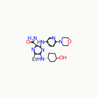 CCc1nc(C(N)=O)c(Nc2ccc(N3CCOCC3)nc2)nc1N[C@H]1CC[C@H](O)CC1